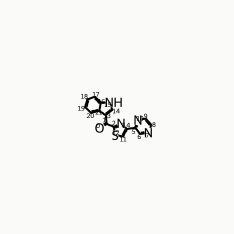 O=C(c1nc(-c2cnccn2)cs1)c1c[nH]c2ccccc12